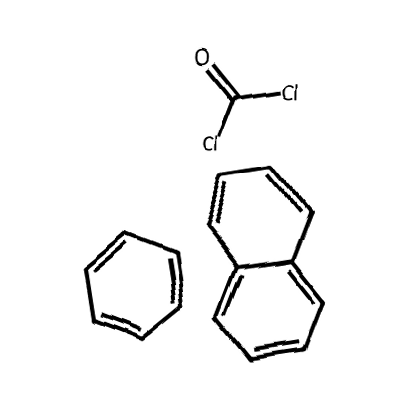 O=C(Cl)Cl.c1ccc2ccccc2c1.c1ccccc1